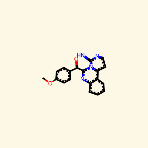 COc1ccc(C(=O)c2nc3ccccc3c3ccnc(=N)n23)cc1